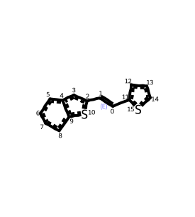 C(=C\c1cc2ccccc2s1)/c1cccs1